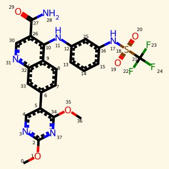 COc1ncc(-c2ccc3c(Nc4cccc(NS(=O)(=O)C(F)(F)F)c4)c(C(N)=O)cnc3c2)c(OC)n1